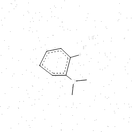 CB(C)c1ccccc1F.F.F